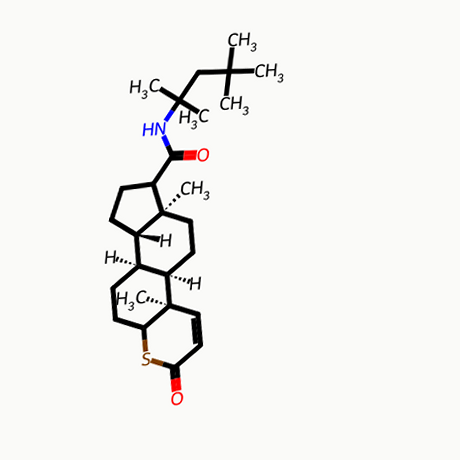 CC(C)(C)CC(C)(C)NC(=O)C1CC[C@H]2[C@@H]3CCC4SC(=O)C=C[C@]4(C)[C@@H]3CC[C@]12C